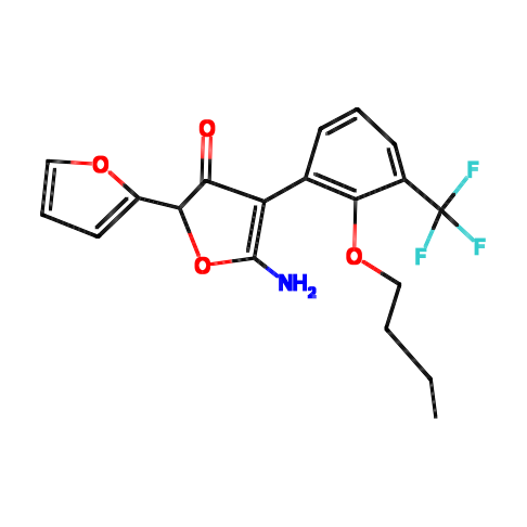 CCCCOc1c(C2=C(N)OC(c3ccco3)C2=O)cccc1C(F)(F)F